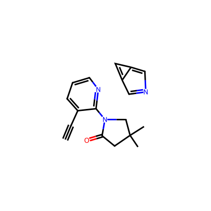 C#Cc1cccnc1N1CC(C)(C)CC1=O.c1ncc2cc1-2